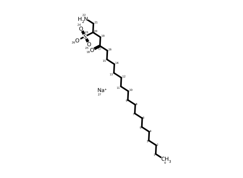 CCCCCCCCCCCCCCCCCC(=O)CC(CN)S(=O)(=O)[O-].[Na+]